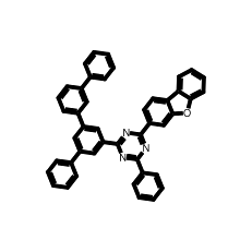 c1ccc(-c2cccc(-c3cc(-c4ccccc4)cc(-c4nc(-c5ccccc5)nc(-c5ccc6c(c5)oc5ccccc56)n4)c3)c2)cc1